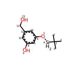 CC(C)(C)[SiH2]Oc1cc(O)cc(CO)c1